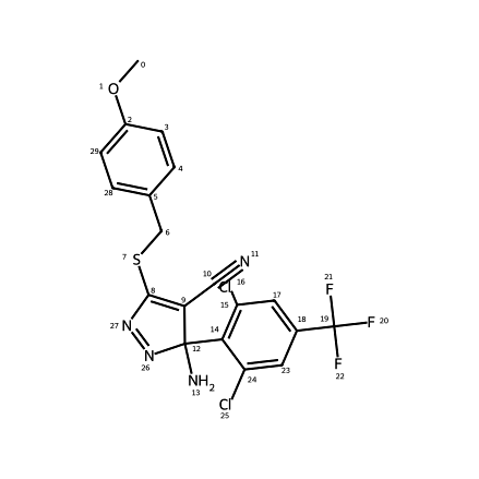 COc1ccc(CSC2=C(C#N)C(N)(c3c(Cl)cc(C(F)(F)F)cc3Cl)N=N2)cc1